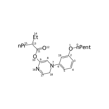 CCCCCOc1cccc(N2C=C(OC(=O)C(CC)CCC)N=CC2)c1